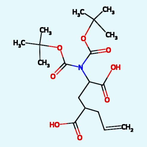 C=CCC(CC(C(=O)O)N(C(=O)OC(C)(C)C)C(=O)OC(C)(C)C)C(=O)O